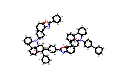 c1ccc(-c2ccc(N(c3ccc4c(ccc5nc(-c6ccc(-c7cc(N(c8ccc9c(ccc%10oc(-c%11ccccc%11)nc%109)c8)c8ccccc8-c8ccccc8)ccc7-c7ccccc7)cc6)oc54)c3)c3ccccc3-c3ccccc3)cc2)cc1